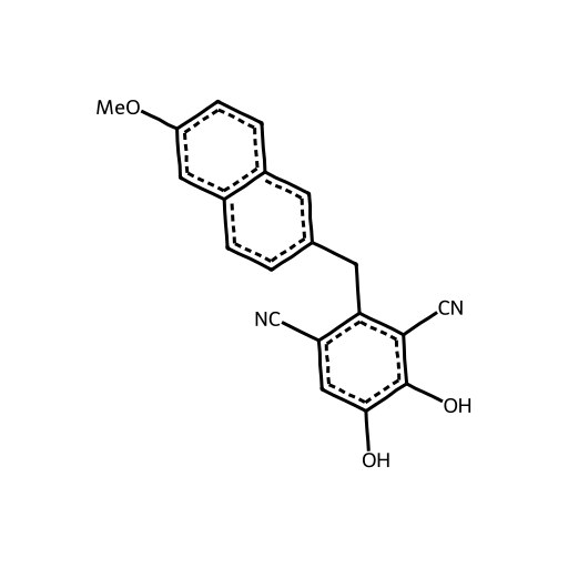 COc1ccc2cc(Cc3c(C#N)cc(O)c(O)c3C#N)ccc2c1